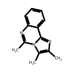 Cc1nc2c3ccccc3nc(C)n2c1C